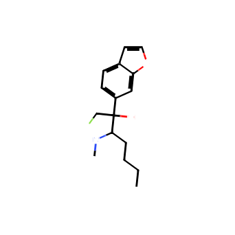 CCCCC(NC)C(O)(CF)c1ccc2ccoc2c1